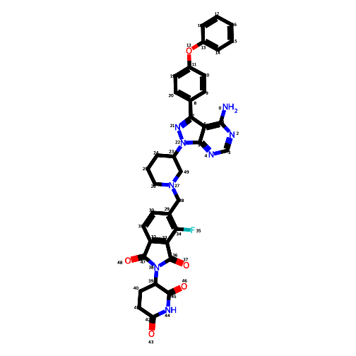 Nc1ncnc2c1c(-c1ccc(Oc3ccccc3)cc1)nn2C1CCCN(Cc2ccc3c(c2F)C(=O)N(C2CCC(=O)NC2=O)C3=O)C1